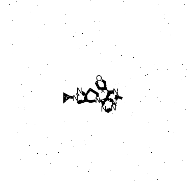 Cc1nc([C@H]2CCOC2)c2c(N3CCc4nn(C5CC5)cc4C3)ncnn12